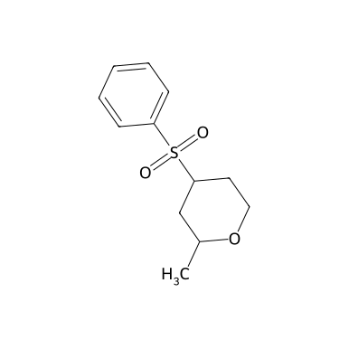 CC1CC(S(=O)(=O)c2ccccc2)CCO1